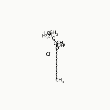 CCCCCCCCCCCCCCCCCCOCC(C)(O)OCCOCC[N+](C)(C)C.[Cl-]